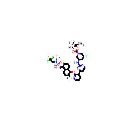 Cc1ccc2c(NS(=O)(=O)N(C)CC(F)(F)F)c(F)ccc2c1Oc1ncccc1-c1ccnc(N[C@@H]2C[C@@H](F)CN(C(=O)OC(C)(C)C)C2)n1